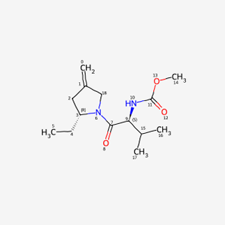 C=C1C[C@@H](CC)N(C(=O)[C@@H](NC(=O)OC)C(C)C)C1